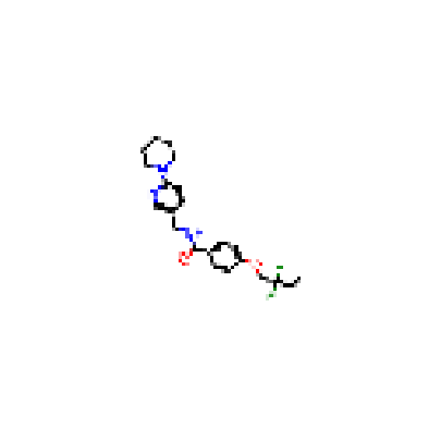 CCC(F)(F)COc1ccc(C(=O)NCc2ccc(N3CCCCC3)nc2)cc1